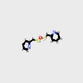 c1ccc(CSOSCc2ccccn2)nc1